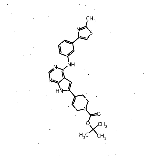 Cc1nc(-c2cccc(Nc3ncnc4[nH]c(C5=CCN(C(=O)OC(C)(C)C)CC5)cc34)c2)cs1